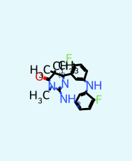 CN1C(=O)C(C)(C)[C@@](C)(c2cc(Nc3ccccc3F)ccc2F)N=C1N